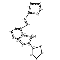 C(=N\c1ccccc1)/c1cccc2cc(C3CCCC3)[nH]c12